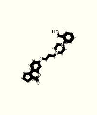 O=c1oc2cc(OCCCN3CCN(c4ccccc4CO)CC3)ccc2c2c1CCC2